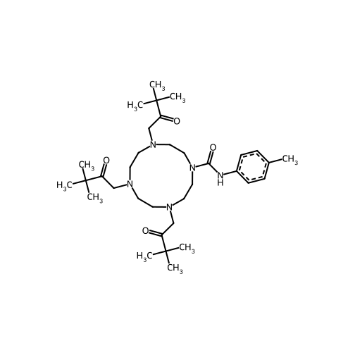 Cc1ccc(NC(=O)N2CCN(CC(=O)C(C)(C)C)CCN(CC(=O)C(C)(C)C)CCN(CC(=O)C(C)(C)C)CC2)cc1